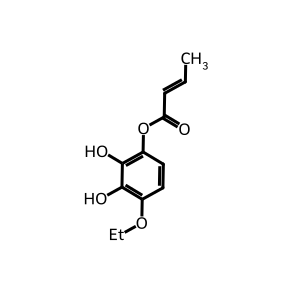 CC=CC(=O)Oc1ccc(OCC)c(O)c1O